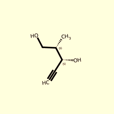 C#C[C@@H](O)[C@@H](C)CO